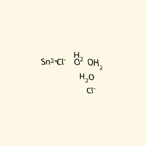 O.O.O.[Cl-].[Cl-].[Sn+2]